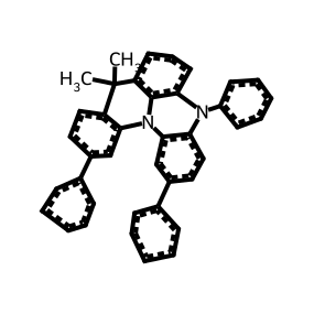 CC1(C)c2ccc(-c3ccccc3)cc2N2c3cc(-c4ccccc4)ccc3N(c3ccccc3)c3cccc1c32